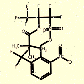 CC(C)(C)C(=O)OC(F)(C(F)(F)F)C(F)(F)S(=O)(=O)OCc1c([N+](=O)[O-])cccc1C(F)(F)F